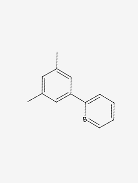 Cc1cc(C)cc(-c2bcccc2)c1